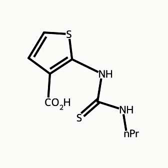 CCCNC(=S)Nc1sccc1C(=O)O